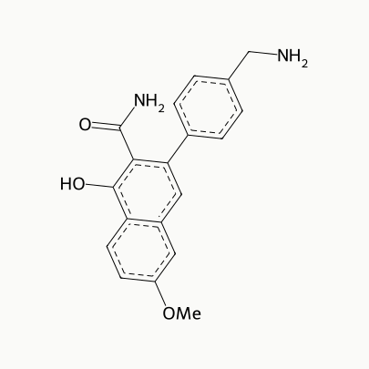 COc1ccc2c(O)c(C(N)=O)c(-c3ccc(CN)cc3)cc2c1